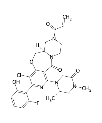 C=CC(=O)N1CCN2C(=O)c3c(N4CC(=O)N(C)C[C@@H]4C)nc(-c4c(O)cccc4F)c(Cl)c3OC[C@H]2C1